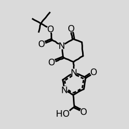 CC(C)(C)OC(=O)N1C(=O)CCC(n2cnc(C(=O)O)cc2=O)C1=O